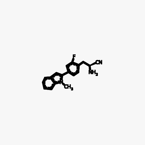 Cn1c(-c2ccc(C[C@H](N)C#N)c(F)c2)cc2ccccc21